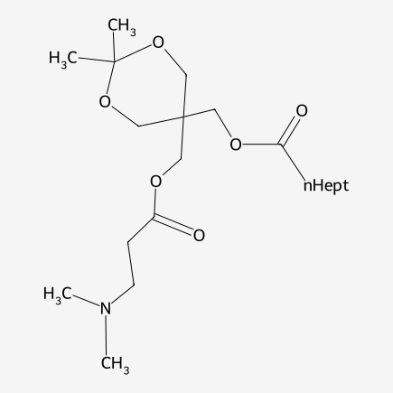 CCCCCCCC(=O)OCC1(COC(=O)CCN(C)C)COC(C)(C)OC1